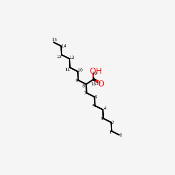 CCCCCCCCC(CCCCCCC)C(=O)O